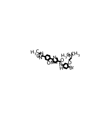 COc1cc(-c2noc(C)n2)ccc1-c1ccc(C(=O)Nc2ccc(Br)c(OCCN(C)C)c2)cn1